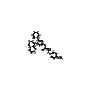 Cc1ccc(CNC(=O)Cn2cc(-c3ccnc4ccccc34)c(-c3ccccn3)n2)cc1